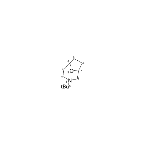 CC(C)(C)N1CCC2CCC(C1)O2